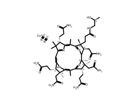 C/C1=C2N=C(/C=C3\N/C(=C(/C)C4=N[C@@](C)(C5N=C1[C@](C)(CCC(=O)NC[C@H](C)O)[C@H]5CC(N)=O)[C@@](C)(CC(N)=O)[C@@H]4CCC(N)=O)[C@@](C)(CC(N)=O)[C@@H]3CCC(N)=O)C(C)(C)[C@@H]/2CCC(N)=O.[C-]#N.[C-]#N.[Co+2]